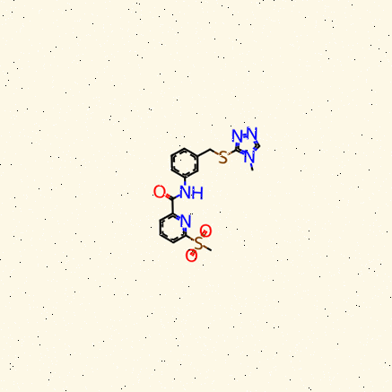 Cn1cnnc1SCc1cccc(NC(=O)c2cccc(S(C)(=O)=O)n2)c1